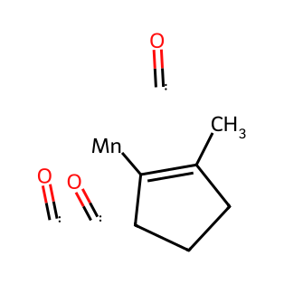 CC1=[C]([Mn])CCC1.[C]=O.[C]=O.[C]=O